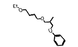 CCOCCCCOCC(C)COc1ccccc1